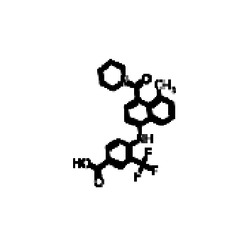 Cc1cccc2c(Nc3ccc(C(=O)O)cc3C(F)(F)F)ccc(C(=O)N3CCCCC3)c12